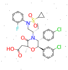 CC[C@@H](CN(c1ccccc1F)S(=O)(=O)C1CC1)N1C(=O)[C@](C)(CC(=O)O)O[C@H](c2cccc(Cl)c2)[C@H]1c1ccc(Cl)cc1